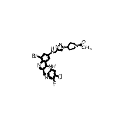 CC(=O)N1CCC(n2cc(CNc3cc(Br)c4ncc(C#N)c(Nc5ccc(F)c(Cl)c5)c4c3)nn2)CC1